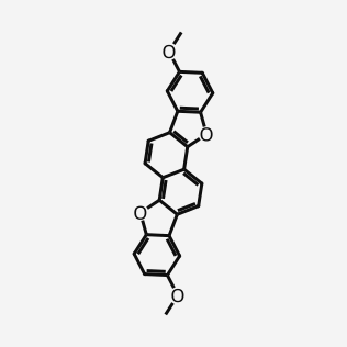 COc1ccc2oc3c(ccc4c3ccc3c5cc(OC)ccc5oc34)c2c1